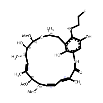 CO[C@H]1/C=C\C=C(/C)C(=O)Nc2cc(O)c(NCCF)c(c2O)C[C@@H](C)C[C@H](OC)[C@H](O)[C@@H](C)/C=C(\C)[C@@H]1OC(C)=O